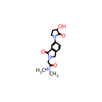 CN(C)C(=O)CN1Cc2ccc(N3CCC(O)C3=O)cc2C1=O